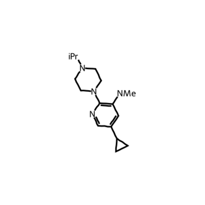 CNc1cc(C2CC2)cnc1N1CCN(C(C)C)CC1